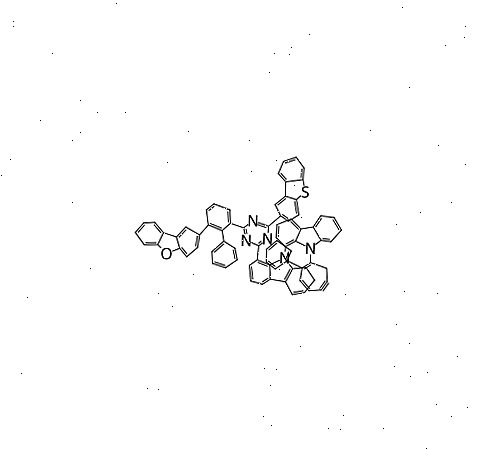 C1#CCC(n2c3ccccc3c3cccc(-n4c5c(c6cccc(-c7nc(-c8ccc9sc%10ccccc%10c9c8)nc(-c8cccc(-c9ccc%10oc%11ccccc%11c%10c9)c8-c8ccccc8)n7)c64)C=CCC5)c32)=C(c2ccccc2)C=C1